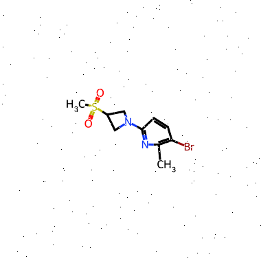 Cc1nc(N2CC(S(C)(=O)=O)C2)ccc1Br